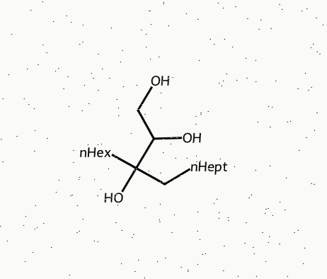 CCCCCCCCC(O)(CCCCCC)C(O)CO